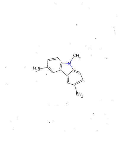 Bc1ccc2c(c1)c1cc(B)ccc1n2C